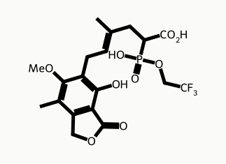 COc1c(C)c2c(c(O)c1C/C=C(\C)CC(C(=O)O)P(=O)(O)OCC(F)(F)F)C(=O)OC2